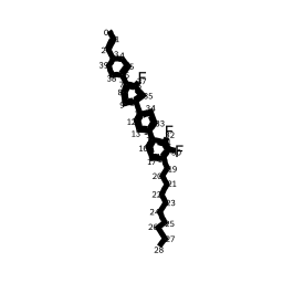 C/C=C/C1CC=C(c2ccc(-c3ccc(-c4ccc(CCCCCCCCCC)c(F)c4F)cc3)cc2F)CC1